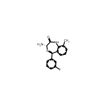 Cc1cccc2c1NC(=O)[C@@H](N)N=C2c1cccc(F)c1